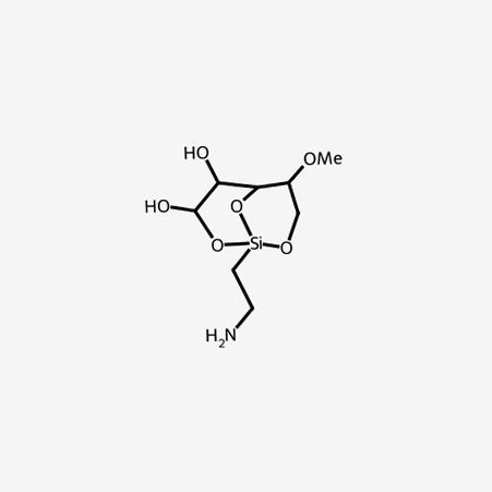 COC1CO[Si]2(CCN)OC(O)C(O)C1O2